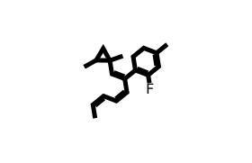 C\C=C/C=C\C(=C\C1(C)CC1C)C1=C(F)C=C(C)CC1